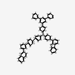 c1ccc(-c2cc(-c3ccccc3)cc(-c3ccc(N(c4ccc(-c5ccc(-c6cccc(-c7ccc8ccccc8c7)c6)cc5)cc4)c4ccc(-c5cccc6c5sc5ccccc56)cc4)cc3)c2)cc1